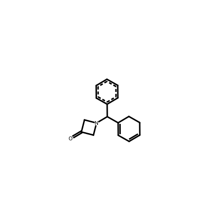 O=C1CN(C(C2=CC=CCC2)c2ccccc2)C1